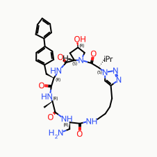 CC(C)[C@H]1C(=O)N2C[C@H](O)C[C@H]2C(=O)N[C@H](Cc2ccc(-c3ccccc3)cc2)C(=O)N[C@H](C)C(=O)N[C@H](CN)C(=O)NCCCCc2cn1nn2